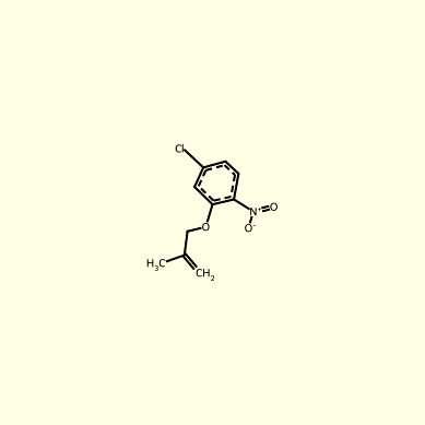 C=C(C)COc1cc(Cl)ccc1[N+](=O)[O-]